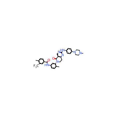 Cc1ccc(NC(=O)c2ccc(C)c(C(F)(F)F)c2)cc1N1CCc2nc(Nc3ccc(N4CCN(C)CC4)cc3)ncc2C1=O